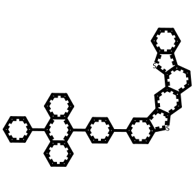 c1ccc(-c2c3ccccc3c(-c3ccc(-c4ccc5sc6cc7ccc8c9ccccc9sc8c7cc6c5c4)cc3)c3ccccc23)cc1